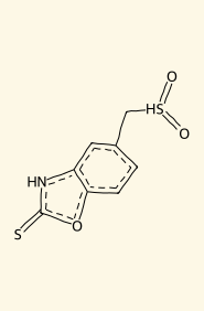 O=[SH](=O)Cc1ccc2oc(=S)[nH]c2c1